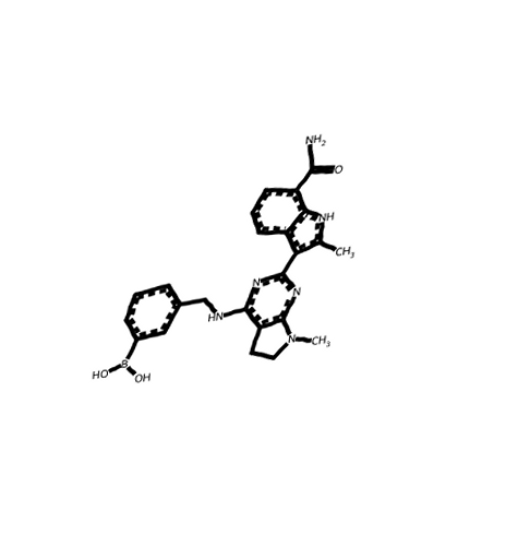 Cc1[nH]c2c(C(N)=O)cccc2c1-c1nc(NCc2cccc(B(O)O)c2)c2c(n1)N(C)CC2